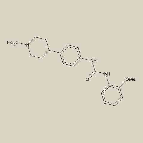 COc1ccccc1NC(=O)Nc1ccc(C2CCN(C(=O)O)CC2)cc1